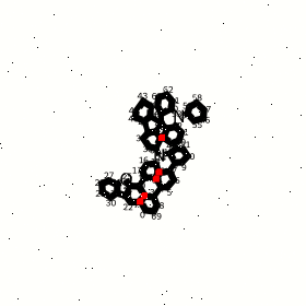 c1ccc(-c2ccc(-c3ccccc3N(c3ccc(-c4cccc5c4oc4ccccc45)cc3)c3ccc4c(c3)C3(c5ccccc5-4)c4ccccc4N(c4ccccc4)c4ccccc43)cc2)cc1